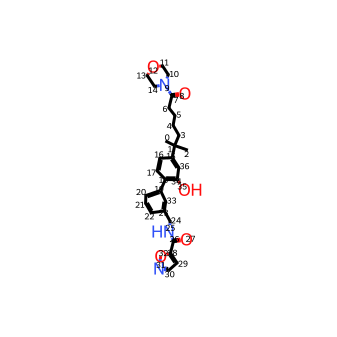 CC(C)(CCCCC(=O)N1CCOCC1)c1ccc(-c2cccc(CNC(=O)c3ccno3)c2)c(O)c1